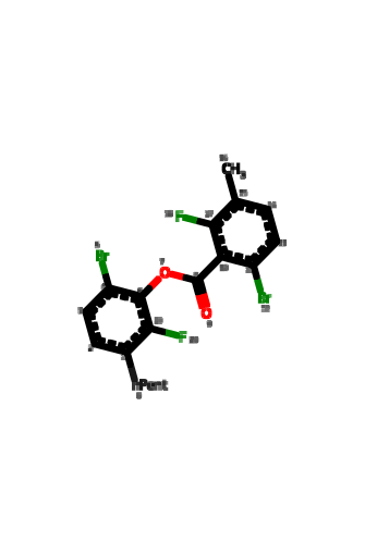 CCCCCc1ccc(Br)c(OC(=O)c2c(Br)ccc(C)c2F)c1F